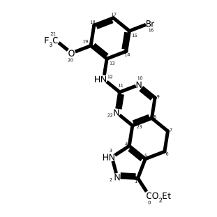 CCOC(=O)c1n[nH]c2c1CCc1cnc(Nc3cc(Br)ccc3OC(F)(F)F)nc1-2